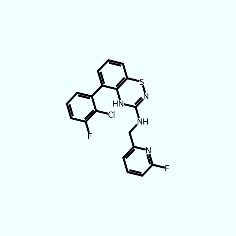 Fc1cccc(CNC2=NSc3cccc(-c4cccc(F)c4Cl)c3N2)n1